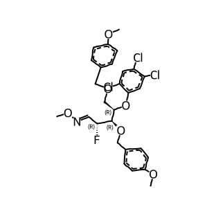 CON=C[C@@H](F)[C@H](OCc1ccc(OC)cc1)[C@@H](COCc1ccc(OC)cc1)Oc1cc(Cl)c(Cl)cc1Cl